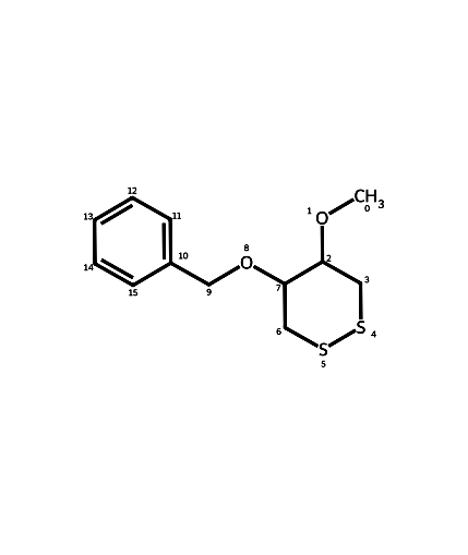 COC1CSSCC1OCc1ccccc1